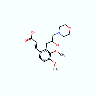 COc1ccc(/C=C/C(=O)O)c(CC(O)CN2CCOCC2)c1OC